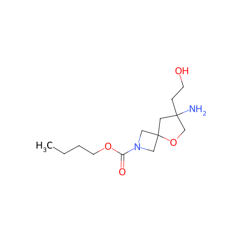 CCCCOC(=O)N1CC2(C1)CC(N)(CCO)CO2